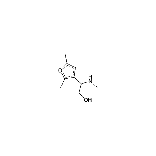 CNC(CO)c1cc(C)oc1C